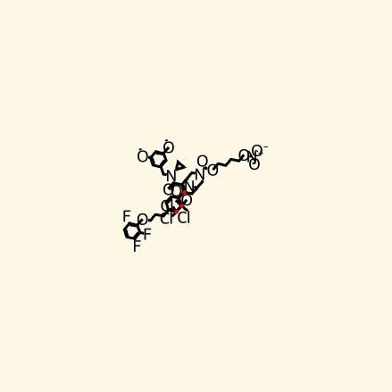 COc1cc(CN(C(=O)C2=C(c3ccc(CCCOc4c(F)ccc(F)c4F)cc3)CC3CN(C(=O)OCCCCO[N+](=O)[O-])CC2N3C(=O)OC(C)(C)C(Cl)(Cl)Cl)C2CC2)cc(OC)c1